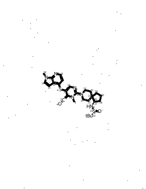 CN1C(=C=O)C(Sc2ccnc3c2ccn3C)=CN=C1N1CCC2(CCC[C@H]2N[S@+]([O-])C(C)(C)C)CC1